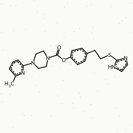 Cc1cccc(N2CCN(C(=O)Oc3ccc(CCSc4ncc[nH]4)cc3)CC2)n1